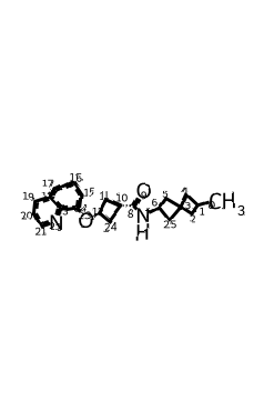 CC1CC2(C1)CC(NC(=O)[C@H]1C[C@H](Oc3cccc4cccnc34)C1)C2